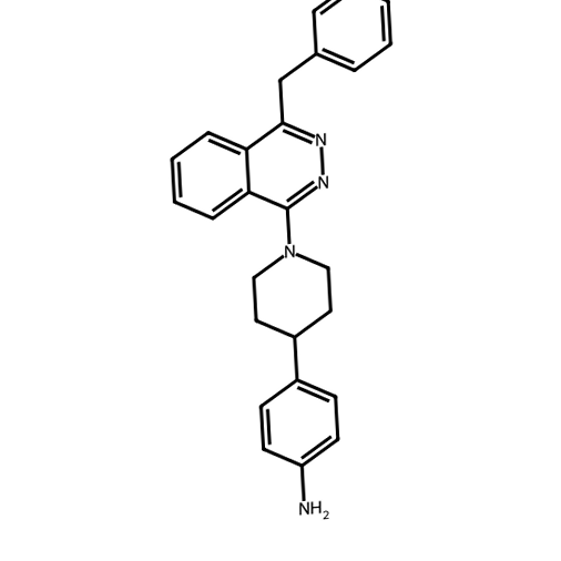 Nc1ccc(C2CCN(c3nnc(Cc4ccccc4)c4ccccc34)CC2)cc1